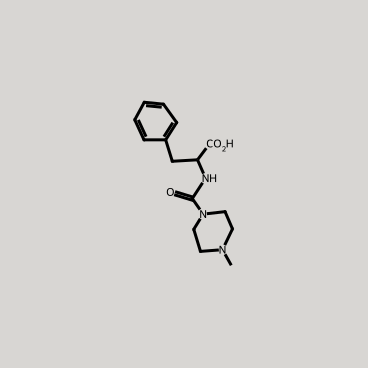 CN1CCN(C(=O)NC(Cc2ccccc2)C(=O)O)CC1